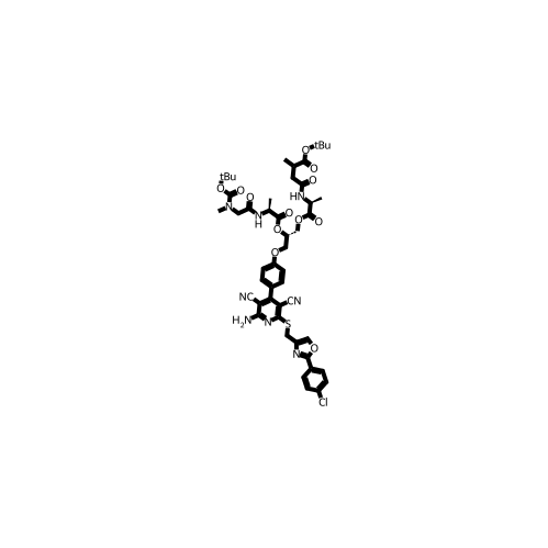 CC(CC(=O)N[C@@H](C)C(=O)OC[C@H](COc1ccc(-c2c(C#N)c(N)nc(SCc3coc(-c4ccc(Cl)cc4)n3)c2C#N)cc1)OC(=O)[C@H](C)NC(=O)CN(C)C(=O)OC(C)(C)C)C(=O)OC(C)(C)C